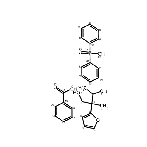 CC(O)C(C)(CO)c1ccco1.O=C(O)c1ccccc1.O=P(O)(c1ccccc1)c1ccccc1